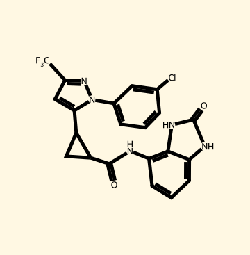 O=C(Nc1cccc2[nH]c(=O)[nH]c12)C1CC1c1cc(C(F)(F)F)nn1-c1cccc(Cl)c1